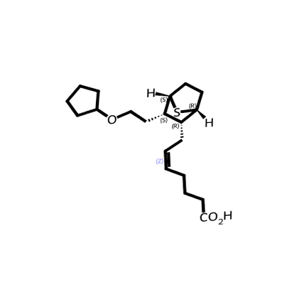 O=C(O)CCC/C=C\C[C@@H]1[C@H](CCOC2CCCC2)[C@@H]2CC[C@H]1S2